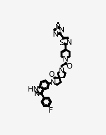 Cn1cnc(-c2cnc(C3=CCN(C(=O)CN4CC[C@]5(CCN(c6ccc7[nH]nc(-c8ccc(F)cc8)c7c6)C5=O)C4)CC3)s2)n1